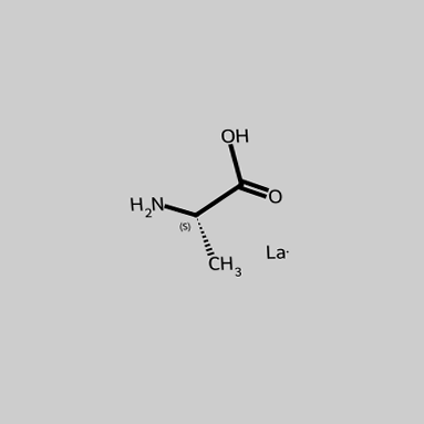 C[C@H](N)C(=O)O.[La]